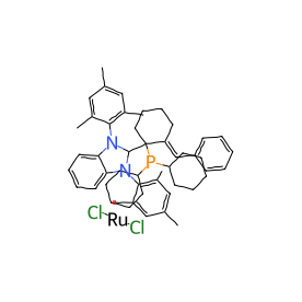 Cc1cc(C)c(N2c3ccccc3N(c3c(C)cc(C)cc3C)C2C2(P(C3CCCCC3)C3CCCCC3)CCCCC2=Cc2ccccc2)c(C)c1.[Cl][Ru][Cl]